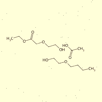 CC(=O)O.CCCCOCCO.CCOC(=O)COCCO